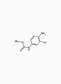 CC(C)(C)OC(=O)Nc1ccc(N)c(Cl)c1